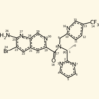 C[C@H](c1ncccn1)N(Cc1ccc(C(F)(F)F)cn1)C(=O)c1cc2cc(Br)c(N)nc2cn1